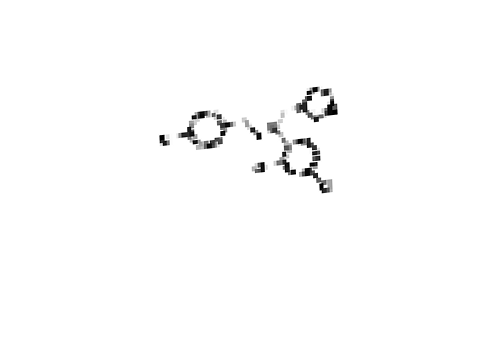 Clc1ccc(CS[C@H](Cn2ccnc2)c2ccc(Cl)cc2Cl)cc1